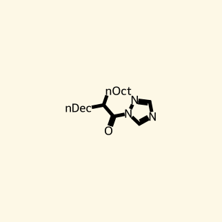 CCCCCCCCCCC(CCCCCCCC)C(=O)n1cncn1